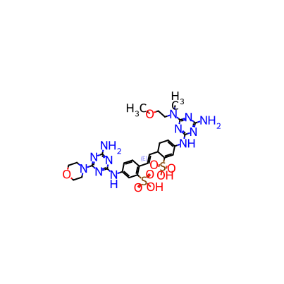 COCCN(C)c1nc(N)nc(NC2=CCC(/C=C/c3ccc(Nc4nc(N)nc(N5CCOCC5)n4)cc3S(=O)(=O)O)C(S(=O)(=O)O)=C2)n1